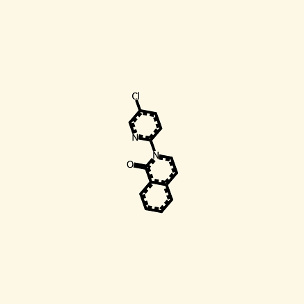 O=c1c2ccccc2ccn1-c1ccc(Cl)cn1